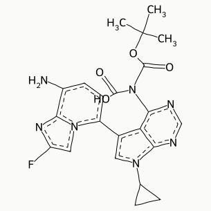 CC(C)(C)OC(=O)N(C(=O)O)c1ncnc2c1c(-c1ccc(N)c3nc(F)cn13)cn2C1CC1